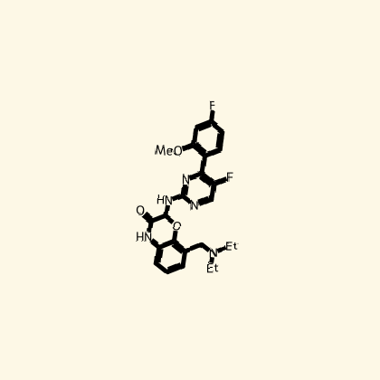 CCN(CC)Cc1cccc2c1OC(Nc1ncc(F)c(-c3ccc(F)cc3OC)n1)C(=O)N2